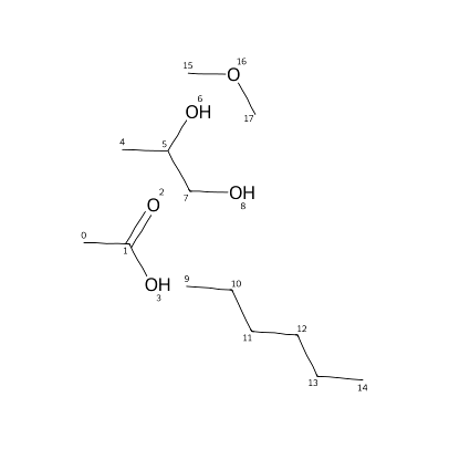 CC(=O)O.CC(O)CO.CCCCCC.COC